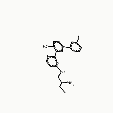 CCC(N)CNc1ccnc(-c2cc(-c3cccc(F)c3)ccc2O)n1